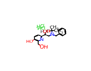 CC(C)(C)N(Cc1ccccc1)CC(O)c1ccc(O)c(CO)n1.Cl.Cl